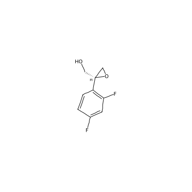 OC[C@]1(c2ccc(F)cc2F)CO1